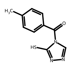 Cc1ccc(C(=O)n2cnnc2S)cc1